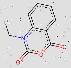 CC(C)Cn1c(=O)oc(=O)c2ccccc21